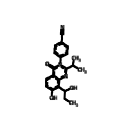 CCC(O)c1c(O)ccc2c(=O)n(-c3ccc(C#N)cc3)c(C(C)C)nc12